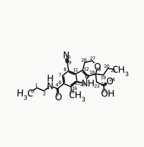 CCCNC(=O)c1cc(C#N)c2c3c([nH]c2c1C)C(CCC)(CC(=O)O)OCC3